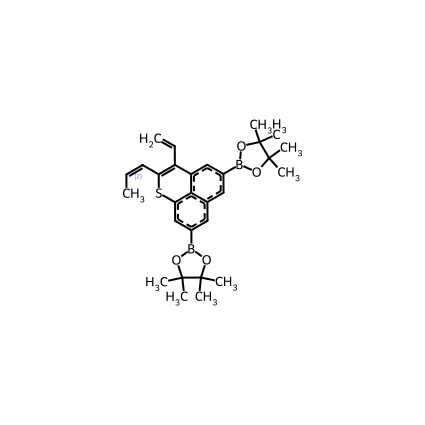 C=CC1=C(/C=C\C)Sc2cc(B3OC(C)(C)C(C)(C)O3)cc3cc(B4OC(C)(C)C(C)(C)O4)cc1c23